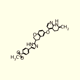 C=C1CCc2c(Oc3ccc4c(c3)CC(c3ncc(-c5ccc(S(C)(=O)=O)cc5)[nH]3)CO4)ccnc2N1